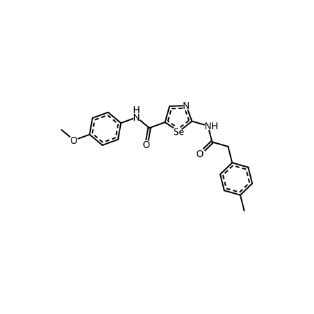 COc1ccc(NC(=O)c2cnc(NC(=O)Cc3ccc(C)cc3)[se]2)cc1